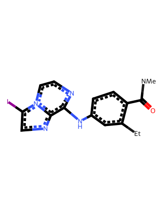 CCc1cc(Nc2nccn3c(I)cnc23)ccc1C(=O)NC